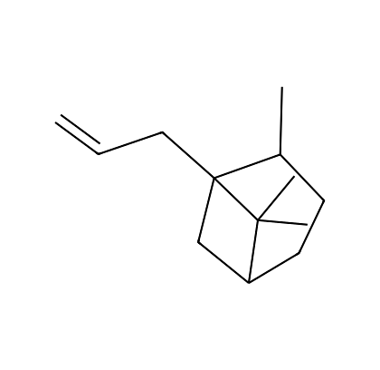 C=CCC12CC(CCC1C)C2(C)C